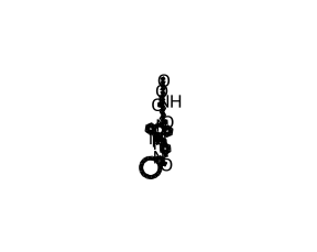 COCCOCCNC(=O)CCCCC(=O)N1Cc2ccccc2-c2nnn(Cc3ccc(C[C@@H]4NC5CCCCCCCCCCCCC(C5)C4=O)cc3)c2-c2ccccc21